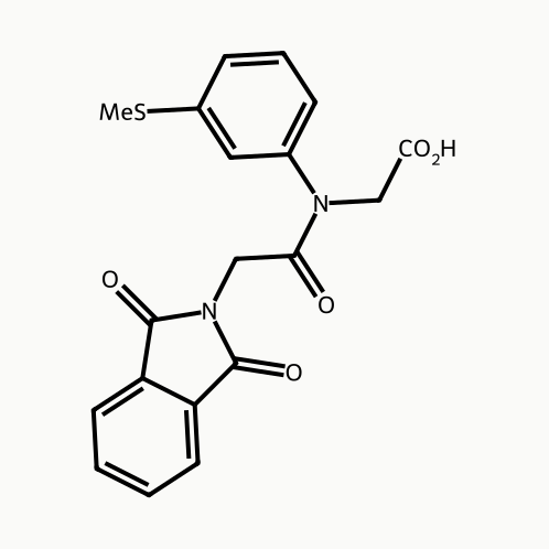 CSc1cccc(N(CC(=O)O)C(=O)CN2C(=O)c3ccccc3C2=O)c1